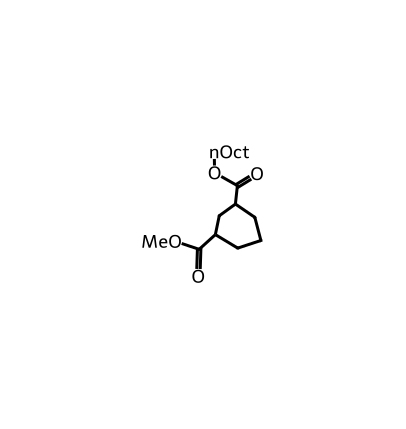 CCCCCCCCOC(=O)C1CCCC(C(=O)OC)C1